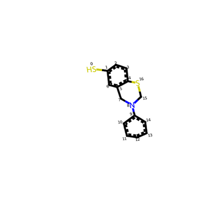 Sc1ccc2c(c1)CN(c1ccccc1)CS2